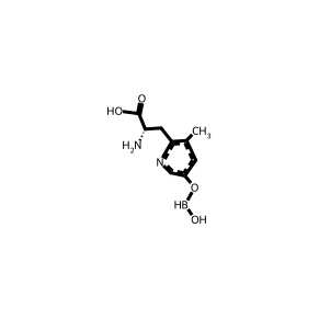 Cc1cc(OBO)cnc1C[C@H](N)C(=O)O